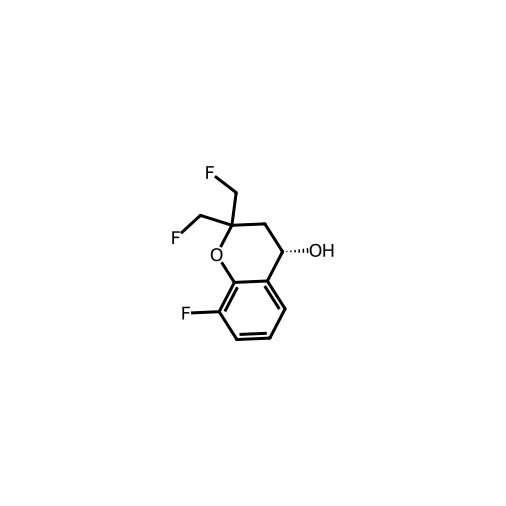 O[C@H]1CC(CF)(CF)Oc2c(F)cccc21